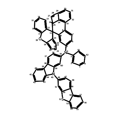 c1ccc(N(c2ccc3c(c2)C2(c4ccccc4Oc4ccccc42)c2cccc4cccc-3c24)c2ccc3c4ccccc4n(-c4ccc5c(c4)sc4ccccc45)c3c2)cc1